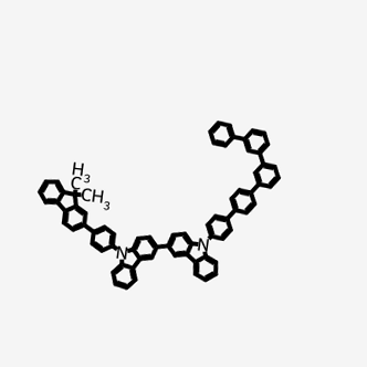 CC1(C)c2ccccc2-c2ccc(-c3ccc(-n4c5ccccc5c5cc(-c6ccc7c(c6)c6ccccc6n7-c6ccc(-c7ccc(-c8cccc(-c9cccc(-c%10ccccc%10)c9)c8)cc7)cc6)ccc54)cc3)cc21